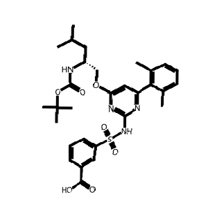 Cc1cccc(C)c1-c1cc(OC[C@@H](CC(C)C)NC(=O)OC(C)(C)C)nc(NS(=O)(=O)c2cccc(C(=O)O)c2)n1